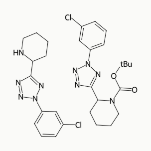 CC(C)(C)OC(=O)N1CCCCC1c1nnn(-c2cccc(Cl)c2)n1.Clc1cccc(-n2nnc(C3CCCCN3)n2)c1